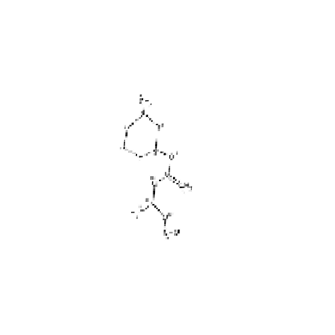 C=C(OC1CCCC(C)C1)OC(C)OC=O